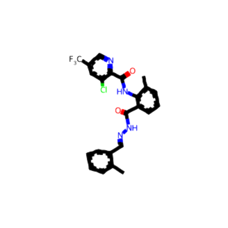 Cc1ccccc1C=NNC(=O)c1cccc(C)c1NC(=O)c1ncc(C(F)(F)F)cc1Cl